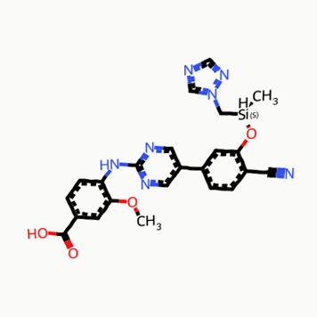 COc1cc(C(=O)O)ccc1Nc1ncc(-c2ccc(C#N)c(O[Si@@H](C)Cn3cncn3)c2)cn1